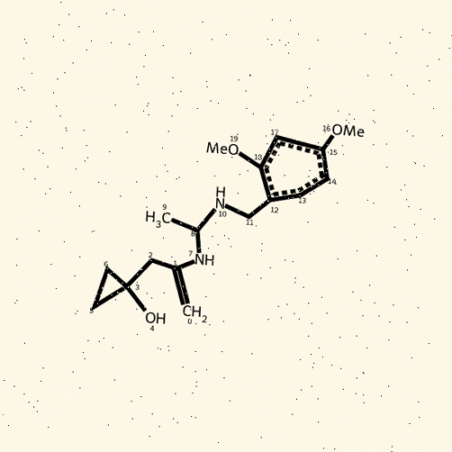 C=C(CC1(O)CC1)NC(C)NCc1ccc(OC)cc1OC